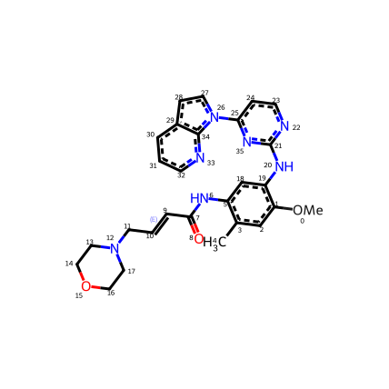 COc1cc(C)c(NC(=O)/C=C/CN2CCOCC2)cc1Nc1nccc(-n2ccc3cccnc32)n1